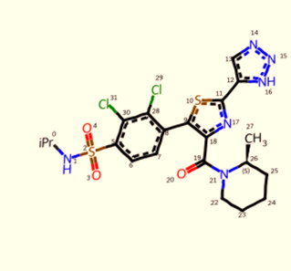 CC(C)NS(=O)(=O)c1ccc(-c2sc(-c3cnn[nH]3)nc2C(=O)N2CCCC[C@@H]2C)c(Cl)c1Cl